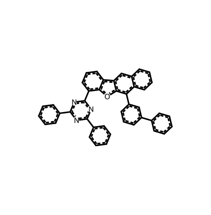 c1ccc(-c2cccc(-c3c4ccccc4cc4c3oc3c(-c5nc(-c6ccccc6)nc(-c6ccccc6)n5)cccc34)c2)cc1